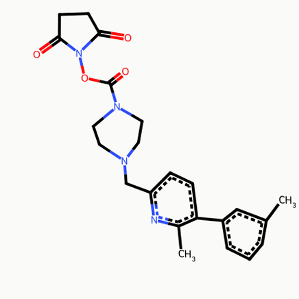 Cc1cccc(-c2ccc(CN3CCN(C(=O)ON4C(=O)CCC4=O)CC3)nc2C)c1